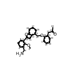 COc1c(CN)cccc1-c1cc2c(COc3ccccc3CC(C)=O)cccc2o1